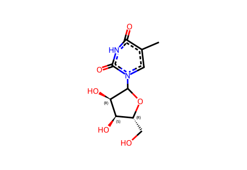 Cc1cn(C2O[C@H](CO)[C@@H](O)[C@H]2O)c(=O)[nH]c1=O